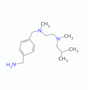 CC(C)CN(C)CCN(C)Cc1ccc(CN)cc1